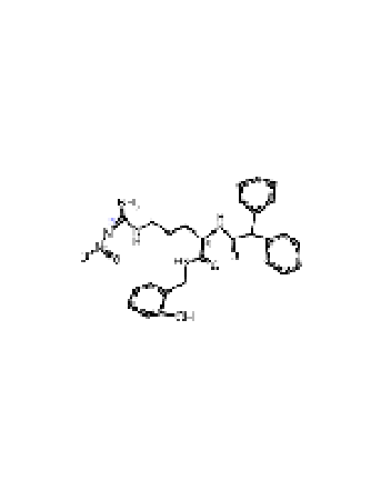 N/C(=N/[N+](=O)[O-])NCCC[C@@H](NC(=O)C(c1ccccc1)c1ccccc1)C(=O)NCc1ccccc1O